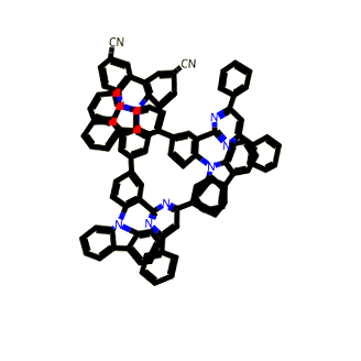 N#Cc1ccc(-n2c3ccccc3c3cc(-c4ccc(-n5c6ccccc6c6ccccc65)c(-c5nc(-c6ccccc6)cc(-c6ccccc6)n5)c4)ccc32)c(-c2cc(C#N)ccc2-n2c3ccccc3c3cc(-c4ccc(-n5c6ccccc6c6ccccc65)c(-c5nc(-c6ccccc6)cc(-c6ccccc6)n5)c4)ccc32)c1